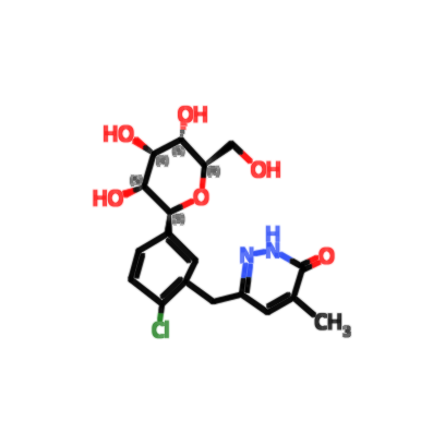 Cc1cc(Cc2cc([C@@H]3O[C@H](CO)[C@@H](O)[C@H](O)[C@@H]3O)ccc2Cl)n[nH]c1=O